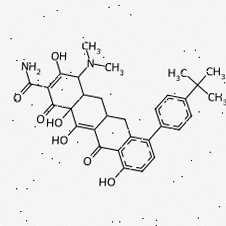 CN(C)C1C(O)=C(C(N)=O)C(=O)C2(O)C(O)=C3C(=O)c4c(O)ccc(-c5ccc(C(C)(C)C)cc5)c4CC3CC12